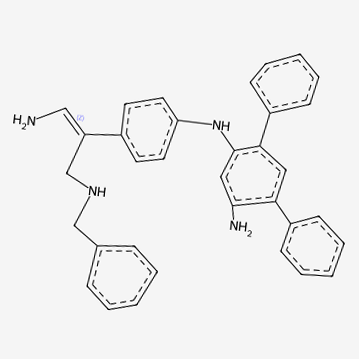 N/C=C(\CNCc1ccccc1)c1ccc(Nc2cc(N)c(-c3ccccc3)cc2-c2ccccc2)cc1